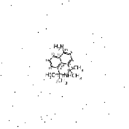 CC1(C)NC(C)(C)c2ccc(N)c3cccc1c23